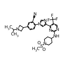 CC(C)N1CC(c2ccc(-n3cnc(-c4nc(NC5CCN(S(C)(=O)=O)CC5)ncc4C(F)(F)F)c3)c(C#N)c2)C1